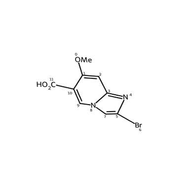 COc1cc2nc(Br)cn2cc1C(=O)O